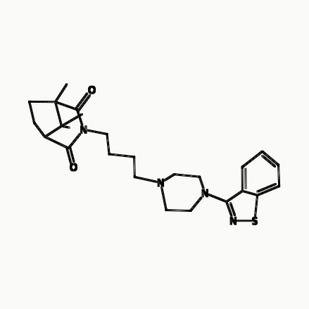 CC12CCC(C(=O)N(CCCCN3CCN(c4nsc5ccccc45)CC3)C1=O)C2(C)C